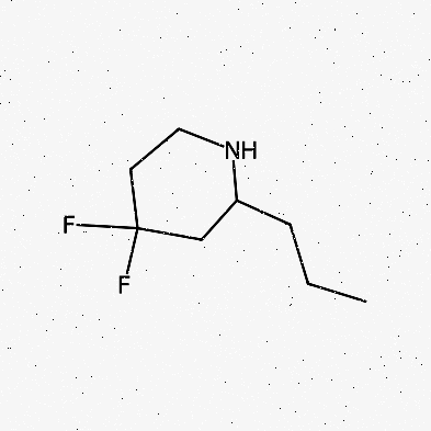 CCCC1CC(F)(F)CCN1